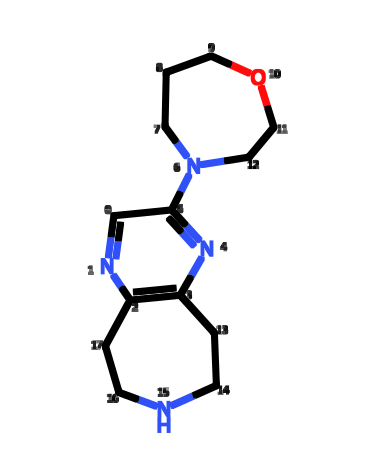 c1nc2c(nc1N1CCCOCC1)CCNCC2